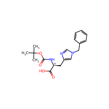 CC(C)(C)OC(=O)N[C@@H](Cc1cn(Cc2ccccc2)cn1)C(=O)O